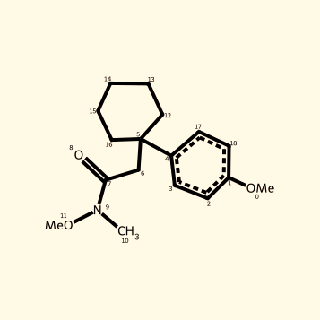 COc1ccc(C2(CC(=O)N(C)OC)CCCCC2)cc1